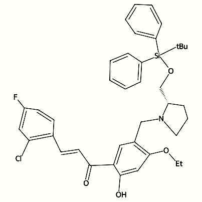 CCOc1cc(O)c(C(=O)/C=C/c2ccc(F)cc2Cl)cc1CN1CCC[C@H]1CO[Si](c1ccccc1)(c1ccccc1)C(C)(C)C